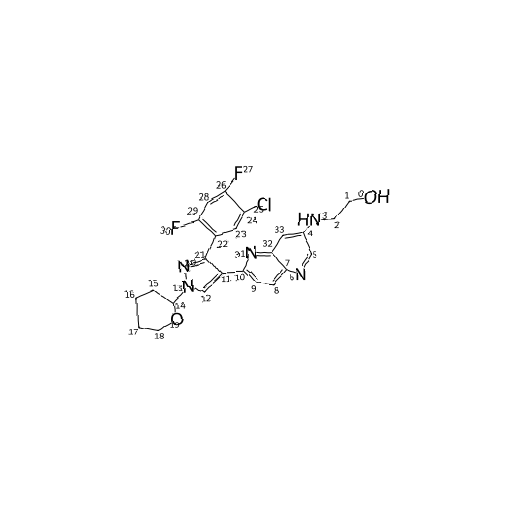 OCCNc1cnc2ccc(-c3cn(C4CCCCO4)nc3-c3cc(Cl)c(F)cc3F)nc2c1